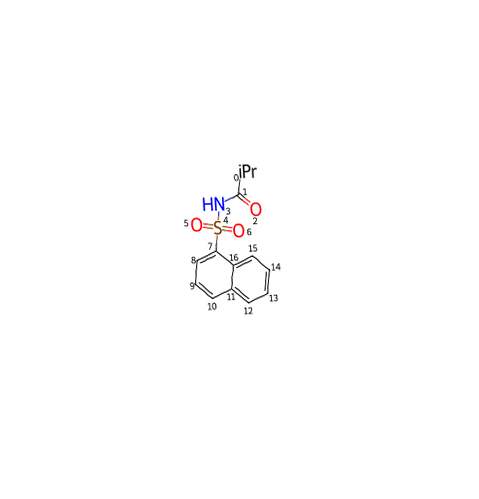 CC(C)C(=O)NS(=O)(=O)c1cccc2ccccc12